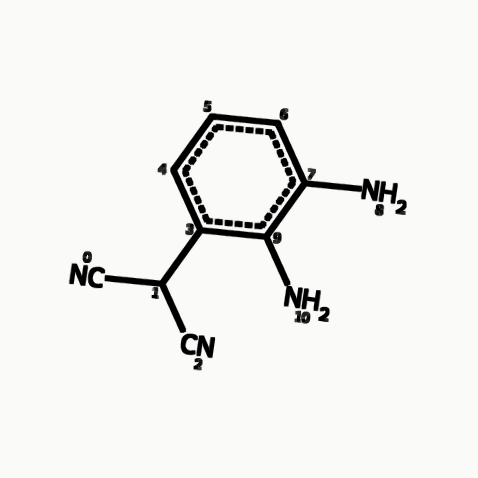 N#CC(C#N)c1cccc(N)c1N